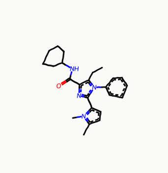 CCc1c(C(=O)NC2CCCCC2)nc(-c2ccc(C)n2C)n1-c1ccccc1